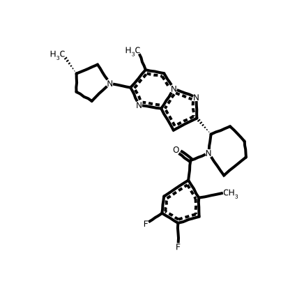 Cc1cc(F)c(F)cc1C(=O)N1CCCC[C@H]1c1cc2nc(N3CC[C@H](C)C3)c(C)cn2n1